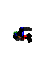 COc1cc(-c2cc(Cl)c(Sc3ncccc3C=O)c(CNC(=O)OCC3c4ccccc4-c4ccccc43)c2)ccn1